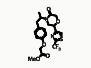 COC(=O)COc1ccc(CC(C)N2CC(c3csc(C(F)(F)F)n3)OCC2=O)cc1